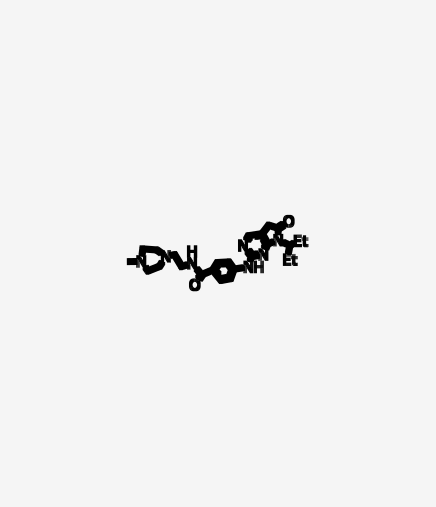 CCC(CC)N1C(=O)Cc2cnc(Nc3ccc(C(=O)NCCN4CCN(C)CC4)cc3)nc21